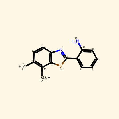 Cc1ccc2nc(-c3ccccc3N)sc2c1S(=O)(=O)O